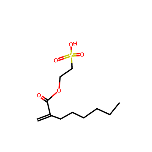 C=C(CCCCCC)C(=O)OCCS(=O)(=O)O